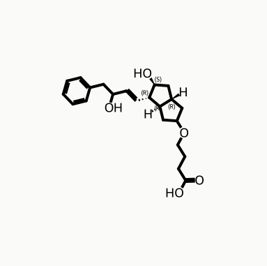 O=C(O)CCCOC1C[C@H]2C[C@H](O)[C@@H](C=CC(O)Cc3ccccc3)[C@@H]2C1